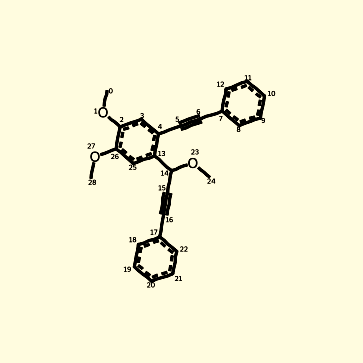 COc1cc(C#Cc2ccccc2)c(C(C#Cc2ccccc2)OC)cc1OC